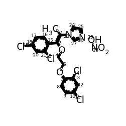 CC(=C(OCCOc1ccc(Cl)cc1Cl)c1ccc(Cl)cc1Cl)n1ccnc1.O=[N+]([O-])O